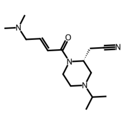 CC(C)N1CCN(C(=O)/C=C/CN(C)C)[C@H](CC#N)C1